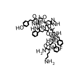 C[C@H](NC(=O)[C@@H](N)Cc1ccc(O)cc1)C(=O)N[C@@H](Cc1c[nH]cn1)C(=O)N[C@H](Cc1c[nH]c2ccccc12)C(=O)N[C@@H](C)C(=O)NN(Cc1ccc(F)cc1)S(=O)(=O)N[C@H](Cc1ccccc1)C(=O)N[C@@H](CCCCN)C(N)=O